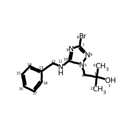 CC(C)(O)Cn1nc(Br)nc1NCc1ccccc1